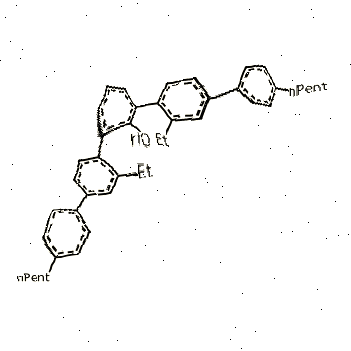 CCCCCc1ccc(-c2ccc(-c3cccc(-c4ccc(-c5ccc(CCCCC)cc5)cc4CC)c3O)c(CC)c2)cc1